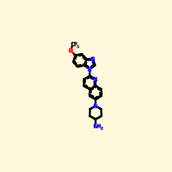 NC1CCN(c2ccc3nc(-n4cnc5cc(OC(F)(F)F)ccc54)ccc3c2)CC1